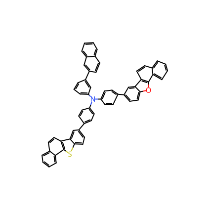 c1cc(-c2ccc3ccccc3c2)cc(N(c2ccc(-c3ccc4oc5c6ccccc6ccc5c4c3)cc2)c2ccc(-c3ccc4sc5c6ccccc6ccc5c4c3)cc2)c1